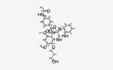 COc1cc(NC2Nc3ccccc3N=C2NS(=O)(=O)c2ccc(NC(C)=O)cc2)c(OCCCO)c(OC)c1